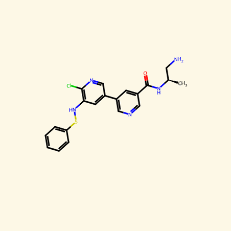 C[C@H](CN)NC(=O)c1cncc(-c2cnc(Cl)c(NSc3ccccc3)c2)c1